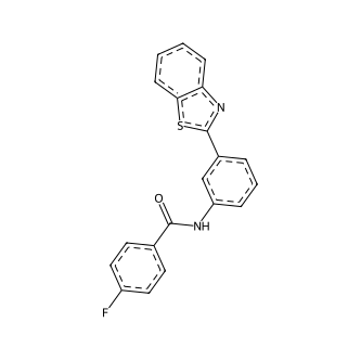 O=C(Nc1cccc(-c2nc3ccccc3s2)c1)c1ccc(F)cc1